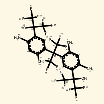 Cc1cc(N)c(C(O)(C(F)(F)F)C(F)(F)F)cc1C(c1cc(C(O)(C(F)(F)F)C(F)(F)F)c(N)cc1C)(C(F)(F)F)C(F)(F)F